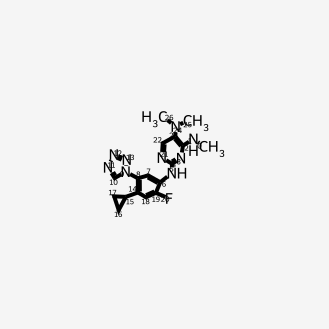 CNc1nc(Nc2cc(-n3cnnn3)c(C3CC3)cc2F)ncc1N(C)C